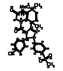 COC1(C)C=CC2(C)C3=NC(c4ccc(S(C)(=O)=O)cc4)C(c4ccc(Cl)cc4)N3C(=O)N3CC(=O)NC1=C32